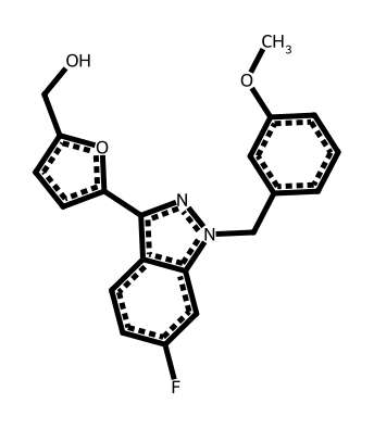 COc1cccc(Cn2nc(-c3ccc(CO)o3)c3ccc(F)cc32)c1